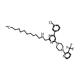 CCCCCCCCCCCCNCc1nc(-c2cccc(Cl)c2)cc(N2CCN(c3ncccc3C(F)(F)F)CC2)n1